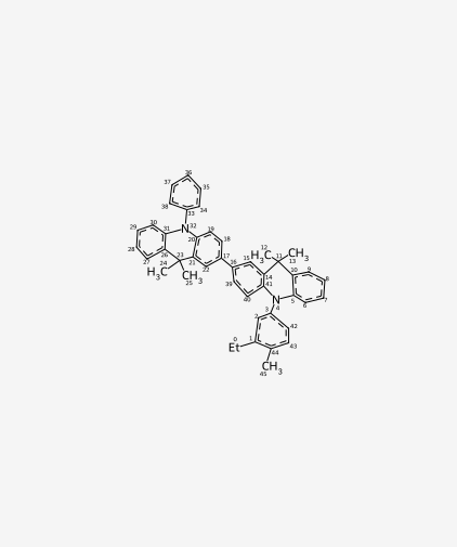 CCc1cc(N2c3ccccc3C(C)(C)c3cc(-c4ccc5c(c4)C(C)(C)c4ccccc4N5c4ccccc4)ccc32)ccc1C